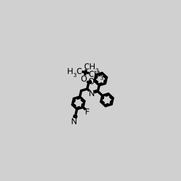 CC(C)(C)OC(=O)C(Cc1ccc(C#N)c(F)c1)N=C(c1ccccc1)c1ccccc1